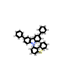 c1ccc(-c2ccc3c(c2)c2cc(-c4ccccc4)ccc2n3-c2cccc3sc4ccccc4c23)cc1